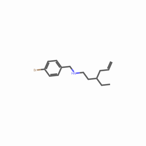 C=CCC(CC)CCNCc1ccc(Br)cc1